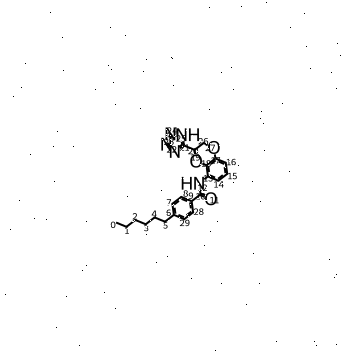 CCCCCCc1ccc(C(=O)Nc2cccc3c2OC(c2nnn[nH]2)CO3)cc1